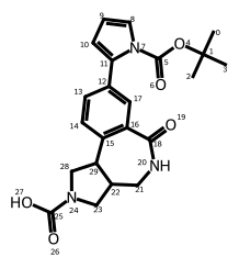 CC(C)(C)OC(=O)n1cccc1-c1ccc2c(c1)C(=O)NCC1CN(C(=O)O)CC21